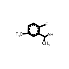 CC(S)c1cc(C(F)(F)F)ccc1F